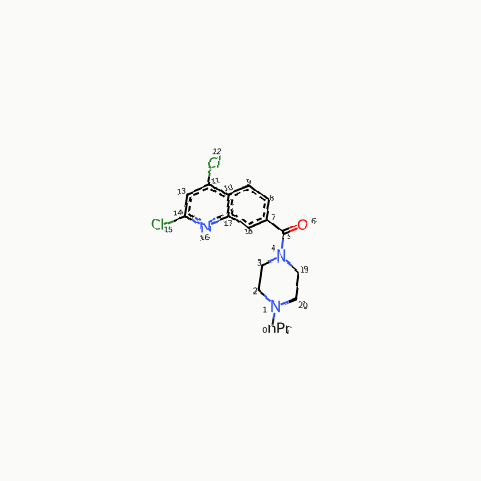 CCCN1CCN(C(=O)c2ccc3c(Cl)cc(Cl)nc3c2)CC1